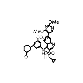 COc1ncc(-c2ccc3c(Nc4cc(C(=O)O)cc(C5CCCC(=O)C5)c4)c(S(=O)(=O)NC4CC4)cnc3c2)c(OC)n1